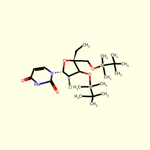 CC[C@]1(CO[Si](C)(C)C(C)(C)C)O[C@@H](n2ccc(=O)[nH]c2=O)[C@H](Cl)C1O[Si](C)(C)C(C)(C)C